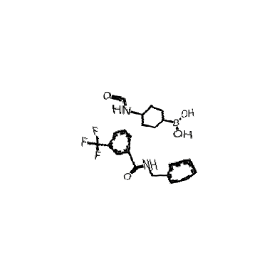 O=C(NCc1ccccc1)c1cccc(C(F)(F)F)c1.O=CNC1CCC(B(O)O)CC1